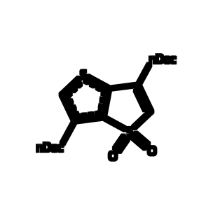 CCCCCCCCCCC1=CS(=O)(=O)c2c(CCCCCCCCCC)csc21